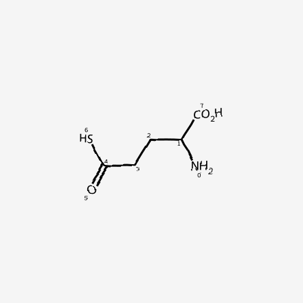 NC(CCC(=O)S)C(=O)O